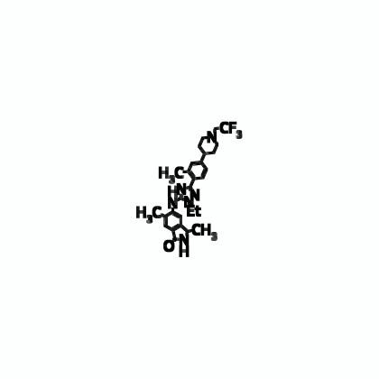 CCn1nc(-c2ccc(C3CCN(CC(F)(F)F)CC3)cc2C)nc1Nc1cc2c(cc1C)C(=O)NC2C